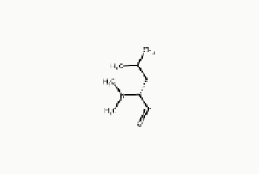 CC(C)C[C@H]([C]=O)N(C)C